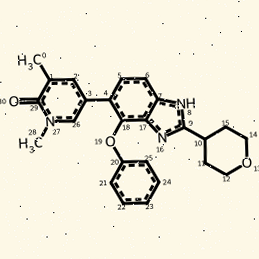 Cc1cc(-c2ccc3[nH]c(C4CCOCC4)nc3c2Oc2ccccc2)cn(C)c1=O